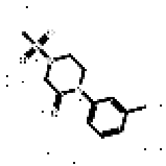 Cc1cccc(N2CCN(S(C)(=O)=O)CC2=O)c1